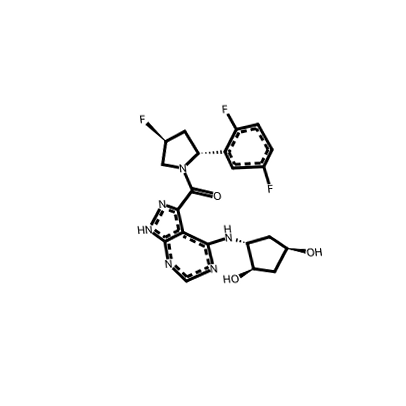 O=C(c1n[nH]c2ncnc(N[C@@H]3C[C@@H](O)C[C@H]3O)c12)N1C[C@@H](F)C[C@@H]1c1cc(F)ccc1F